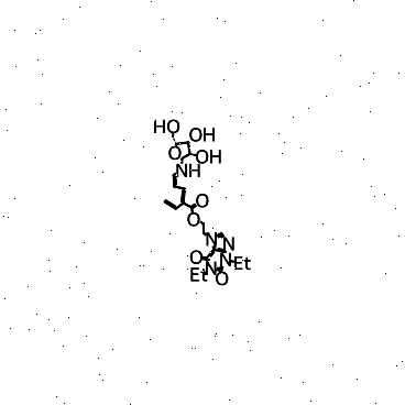 C=C/C(=C\C=C/NC1O[C@H](CO)[C@@H](O)[C@H]1O)C(=O)OCCn1cnc2c1c(=O)n(CC)c(=O)n2CC